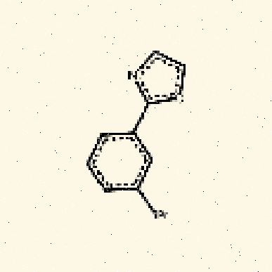 CC(C)c1cccc(-c2ncco2)c1